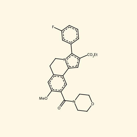 CCOC(=O)c1cc2n(c1-c1cccc(F)c1)CCc1cc(OC)c(C(=O)N3CCOCC3)cc1-2